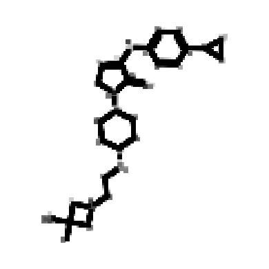 CC1(O)CN(CCO[C@H]2CC[C@H](N3CC=C(Oc4ccc(C5CC5)cc4)C3=O)CC2)C1